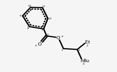 CCCCC(CC)COC(=O)c1[c]cccc1